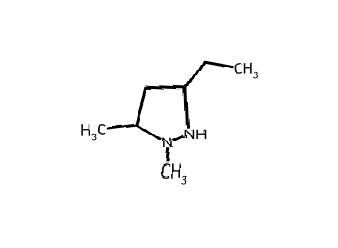 CCC1CC(C)N(C)N1